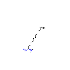 CCCCCCCCCCCCCCCCCCC=C(N)N(C)C